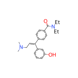 CCN(CC)C(=O)c1ccc(C(=CCN(C)C)c2cccc(O)c2)cc1